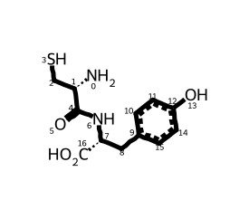 N[C@@H](CS)C(=O)N[C@H](Cc1ccc(O)cc1)C(=O)O